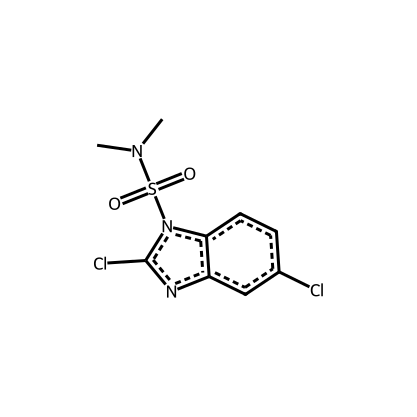 CN(C)S(=O)(=O)n1c(Cl)nc2cc(Cl)ccc21